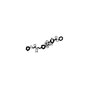 O=C(COc1ccccc1)NCCc1ccc(S(=O)(=O)NC(=O)c2ccc(C(=O)OC3CCCCC3)nc2)cc1